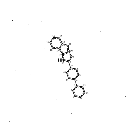 c1ccc(-c2ccc(-c3cn4cc5ccccc5c4[nH]3)cc2)cc1